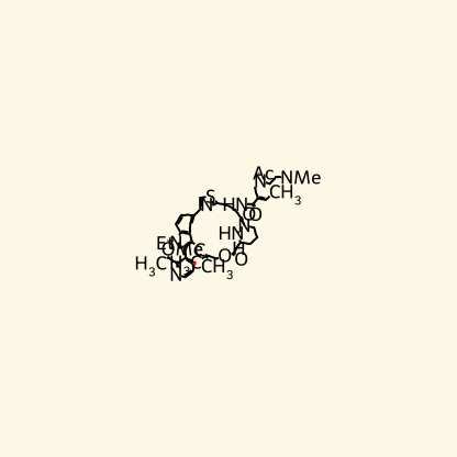 C/C=C(\CN(CCNC)C(C)=O)C(=O)N[C@H]1Cc2nc(cs2)-c2ccc3c(c2)c(c(-c2cccnc2[C@H](C)OC)n3CC)CC(C)(C)COC(=O)[C@@H]2CCCN(N2)C1=O